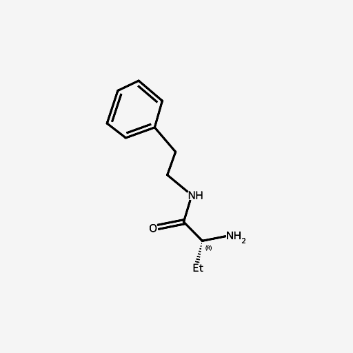 CC[C@@H](N)C(=O)NCCc1ccccc1